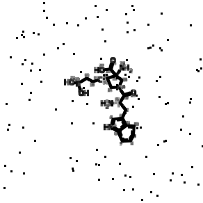 N[C@@H](Cc1c[nH]c2ccccc12)C(=O)N1C[C@H](CCCB(O)O)[C@](N)(C(=O)O)C1